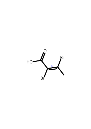 C/C(Br)=C(\Br)C(=O)O